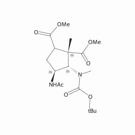 COC(=O)C1C[C@H](NC(C)=O)[C@@H](N(C)C(=O)OC(C)(C)C)[C@@]1(C)C(=O)OC